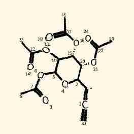 C=C=CC1OC(OC(C)=O)C(OC(C)=O)[C@H](OC(C)=O)[C@@H]1OC(C)=O